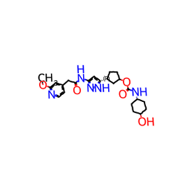 COc1cc(CC(=O)Nc2cc([C@@H]3CCC(OC(=O)N[C@H]4CC[C@H](O)CC4)C3)[nH]n2)ccn1